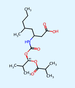 CCCC(C)CC(CC(=O)O)NC(=O)O[C@@H](OC(=O)C(C)C)C(C)C